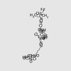 C=C(CCC(F)F)C1=C(CN2CCN(c3ccc(C(=O)NS(=O)(=O)c4ccc(N[C@H](CCN5CCN(CCCCCCC(=O)Nc6cccc7c6C(=O)N(C6CCC(=O)NC6=O)C7=O)CC5)CSc5ccccc5)c(S(=O)(=O)C(F)(F)F)c4)cc3)CC2)CCC(C)(C)C1